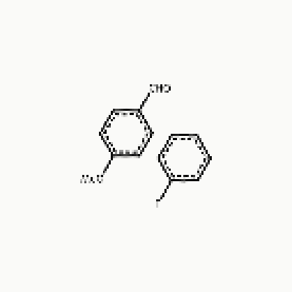 COc1ccc(C=O)cc1.Fc1ccccc1